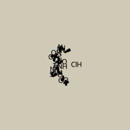 C#CCn1nnnc1SCC1(C(=O)O)CS[C@@H]2C(NC(=O)C(=NOCC(=O)OC(C)(C)C)N3C=CSC3N)C(=O)N2C1.Cl